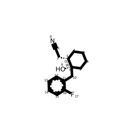 N#CC[C@@H]1CCCC[C@@]1(O)Cc1ccccc1F